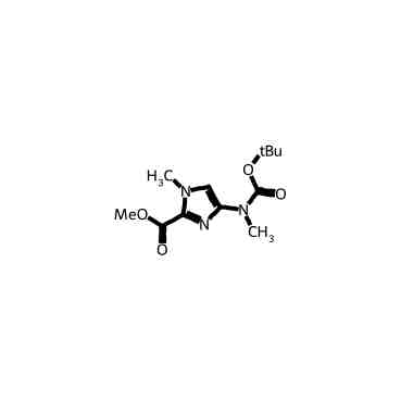 COC(=O)c1nc(N(C)C(=O)OC(C)(C)C)cn1C